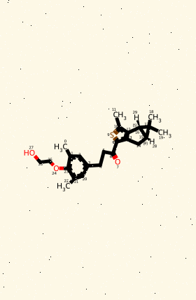 Cc1cc(CCC(=O)c2sc(C)c3c2C[C@@H]2[C@H]3C2(C)C)cc(C)c1OCCO